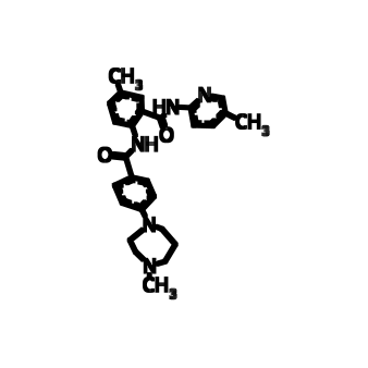 Cc1ccc(NC(=O)c2cc(C)ccc2NC(=O)c2ccc(N3CCCN(C)CC3)cc2)nc1